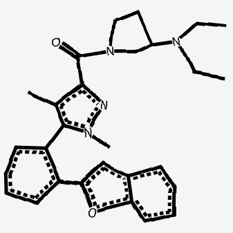 CCN(CC)C1CCN(C(=O)c2nn(C)c(-c3ccccc3-c3cc4ccccc4o3)c2C)C1